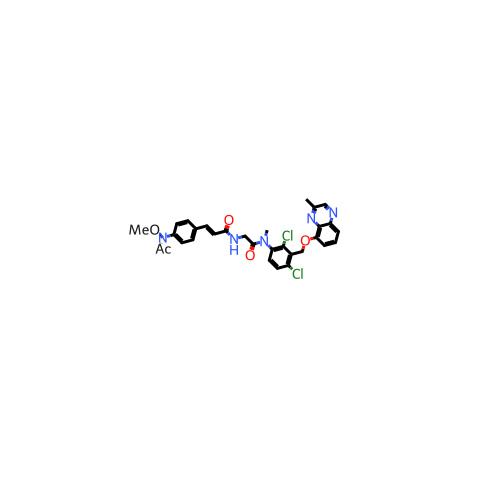 CON(C(C)=O)c1ccc(C=CC(=O)NCC(=O)N(C)c2ccc(Cl)c(COc3cccc4ncc(C)nc34)c2Cl)cc1